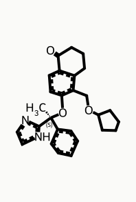 C[C@](Oc1ccc2c(c1COC1CCCC1)CCCC2=O)(c1ccccc1)c1ncc[nH]1